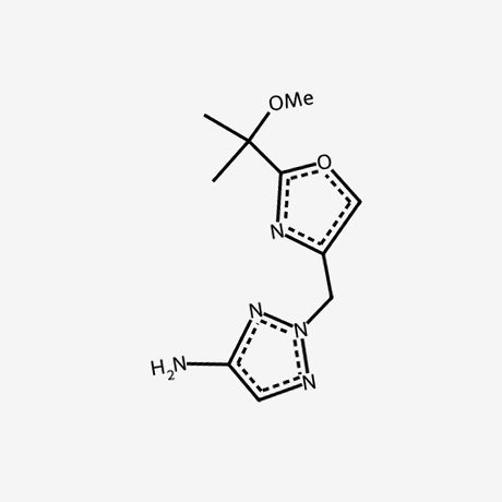 COC(C)(C)c1nc(Cn2ncc(N)n2)co1